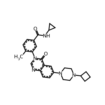 Cc1ccc(C(=O)NC2CC2)cc1-n1cnc2ccc(N3CCN(C4CCC4)CC3)cc2c1=O